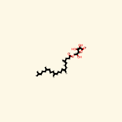 CC(C)=CCCC(C)=CCCC(C)=CCCC=C(C)CCC=C(C)CCC(=O)OCC(O)C1OC(=O)C(O)=C1O